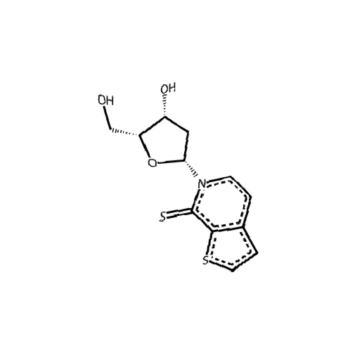 OC[C@H]1O[C@@H](n2ccc3ccsc3c2=S)C[C@H]1O